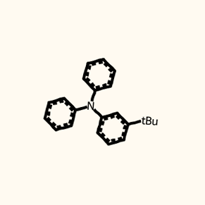 CC(C)(C)c1cccc(N(c2ccccc2)c2ccccc2)c1